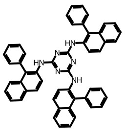 c1ccc(-c2c(Nc3nc(Nc4ccc5ccccc5c4-c4ccccc4)nc(Nc4ccc5ccccc5c4-c4ccccc4)n3)ccc3ccccc23)cc1